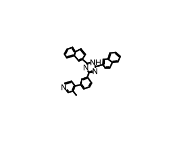 Cc1cnccc1-c1cccc(C2=NC(c3ccc4ccccc4c3)NC(c3ccc4ccccc4c3)=N2)c1